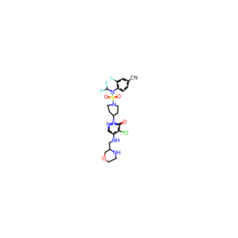 N#Cc1ccc(N(C(F)F)S(=O)(=O)N2CCC(n3ncc(NCC4COCCN4)c(Cl)c3=O)CC2)c(F)c1